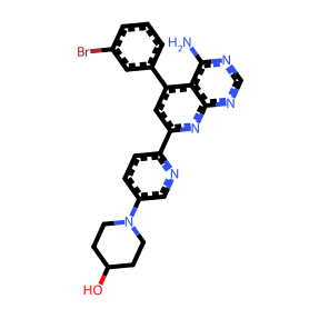 Nc1ncnc2nc(-c3ccc(N4CCC(O)CC4)cn3)cc(-c3cccc(Br)c3)c12